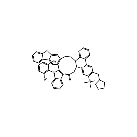 C=C1CC2C(CCc3cc4sc5ccccc5c4cc3-c3n(-c4c(C(C)C)cccc4C(C)C)c4ccccc4[n+]31)c1ccccc1-c1cc(CC3CCCC3)c([Si](C)(C)C)c[n+]12